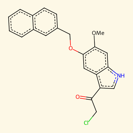 COc1cc2[nH]cc(C(=O)CCl)c2cc1OCc1ccc2ccccc2c1